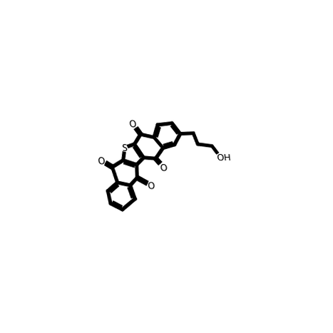 O=c1c2ccccc2c(=O)c2c1sc1c(=O)c3ccc(CCCO)cc3c(=O)c12